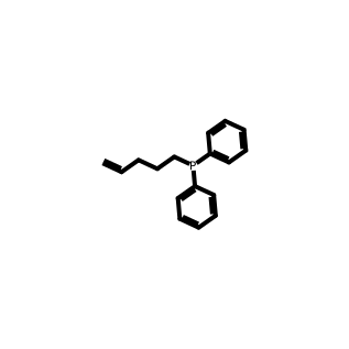 C=CCCCP(c1ccccc1)c1ccccc1